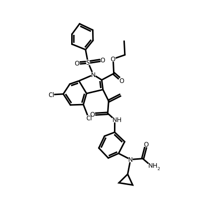 C=C(C(=O)Nc1cccc(N(C(N)=O)C2CC2)c1)c1c(C(=O)OCC)n(S(=O)(=O)c2ccccc2)c2cc(Cl)cc(Cl)c12